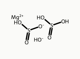 O=S(O)O.O=S([O-])O.[Mg+2].[OH-]